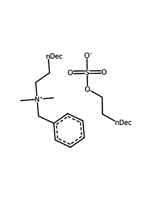 CCCCCCCCCCCCOS(=O)(=O)[O-].CCCCCCCCCCCC[N+](C)(C)Cc1ccccc1